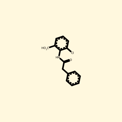 O=C(Cc1ccccc1)Nc1c(Cl)cccc1C(=O)O